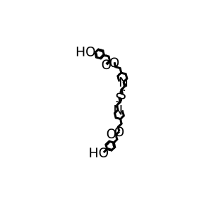 O=C(Cc1ccc(O)cc1)OCCC1CCN(CCSSCCN2CCC(CCOC(=O)Cc3ccc(O)cc3)CC2)CC1